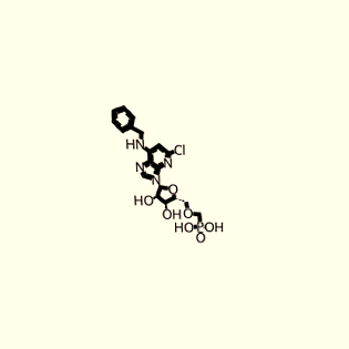 O=P(O)(O)COC[C@H]1O[C@@H](n2cnc3c(NCc4ccccc4)cc(Cl)nc32)[C@H](O)[C@@H]1O